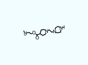 CN(C)CCOC(=O)C1CCN(CCN2CCN(I)CC2)CC1